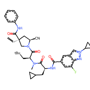 C=C[C@]1(C(=O)Nc2ccccc2)C[C@@H](C#N)N(C(=O)[C@H](CC(C)(C)C)N(C)C(=O)[C@H](CC2CC2)NC(=O)c2cc(F)c3nn(C4CC4)cc3c2)C1